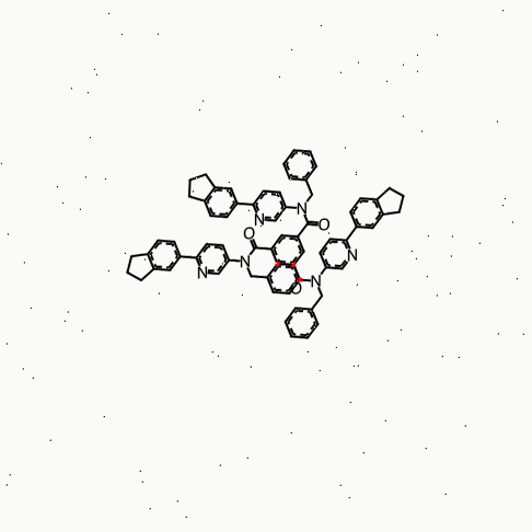 O=C(c1cc(C(=O)N(Cc2ccccc2)c2ccc(-c3ccc4c(c3)CCC4)nc2)cc(C(=O)N(Cc2ccccc2)c2ccc(-c3ccc4c(c3)CCC4)nc2)c1)N(Cc1ccccc1)c1ccc(-c2ccc3c(c2)CCC3)nc1